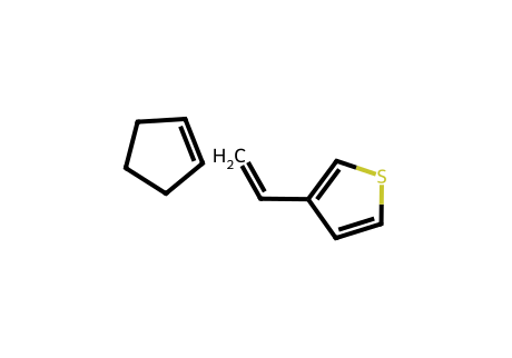 C1=CCCC1.C=Cc1ccsc1